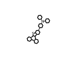 c1ccc(N(c2ccccc2)c2ccc(-c3ccc4c(c3)sc3c5ccccc5c5ccccc5c43)cc2)cc1